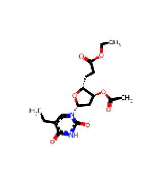 CCOC(=O)CC[C@H]1O[C@@H](n2cc(CC)c(=O)[nH]c2=O)C[C@@H]1OC(C)=O